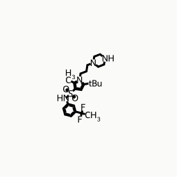 Cc1c(S(=O)(=O)Nc2cccc(C(C)(F)F)c2)cc(C(C)(C)C)n1CCCN1CCNCC1